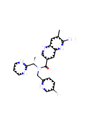 Cc1cc2ncc(C(=O)N(Cc3ccc(Br)cn3)[C@H](C)c3ncccn3)cc2nc1N